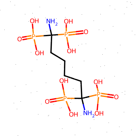 NC(CCCCC(N)(P(=O)(O)O)P(=O)(O)O)(P(=O)(O)O)P(=O)(O)O